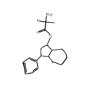 O=C(OC1CC(c2ccccc2)C2CCCCC12)C(F)(F)S(=O)(=O)O